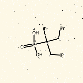 CC(C)CC(CC(C)C)(C(C)C)P(=O)(O)O